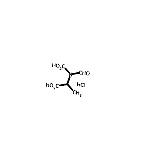 CC(C(=O)O)N(C=O)C(=O)O.Cl